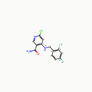 NC(=O)c1cnc(Cl)cc1NCc1ccc(F)cc1F